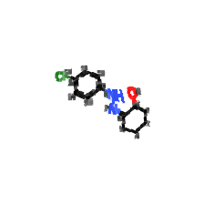 O=C1CCCCC1=NNc1ccc(Cl)cc1